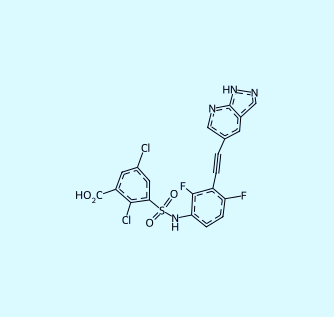 O=C(O)c1cc(Cl)cc(S(=O)(=O)Nc2ccc(F)c(C#Cc3cnc4[nH]ncc4c3)c2F)c1Cl